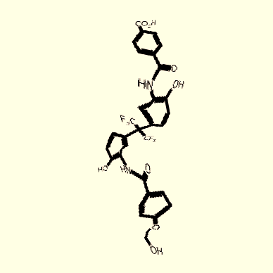 O=C(O)c1ccc(C(=O)Nc2cc(C(c3ccc(O)c(NC(=O)c4ccc(OCO)cc4)c3)(C(F)(F)F)C(F)(F)F)ccc2O)cc1